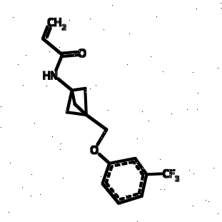 C=CC(=O)NC12CC(COc3cccc(C(F)(F)F)c3)(C1)C2